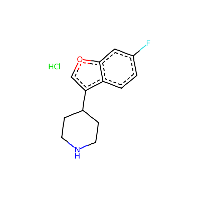 Cl.Fc1ccc2c(C3CCNCC3)coc2c1